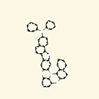 c1ccc(N(c2ccccc2)c2ccc3c(ccc4c5cc6c(cc5oc34)B3c4c(cccc4Oc4ccc5ccccc5c43)O6)c2)cc1